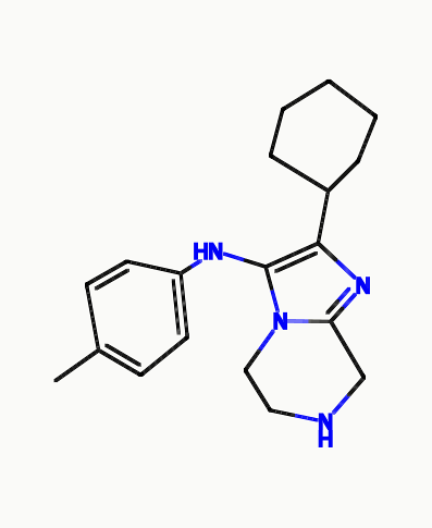 Cc1ccc(Nc2c(C3CCCCC3)nc3n2CCNC3)cc1